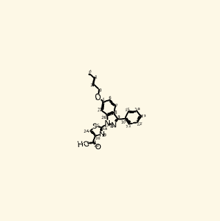 CCCCOc1ccc2c(-c3ccccc3)nn(-c3nc(C(=O)O)cs3)c2c1